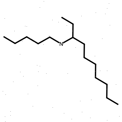 CCCCCCCC(CC)[N]CCCCC